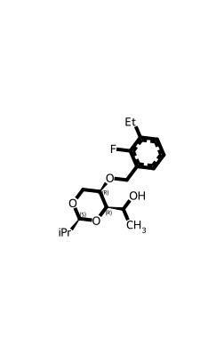 CCc1cccc(CO[C@@H]2CO[C@H](C(C)C)O[C@@H]2C(C)O)c1F